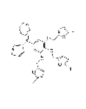 Ic1ccc(COc2cc([SH](c3ccccc3)c3ccccc3)cc(OCc3ccc(I)o3)c2OCc2ccc(I)o2)o1